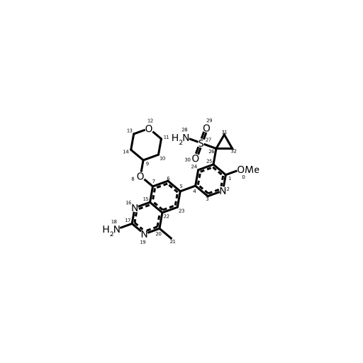 COc1ncc(-c2cc(OC3CCOCC3)c3nc(N)nc(C)c3c2)cc1C1(S(N)(=O)=O)CC1